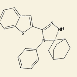 c1ccc(N2C(c3cc4ccccc4s3)=NN[C@]23CC2CCC3CC2)cc1